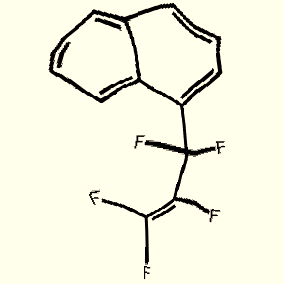 FC(F)=C(F)C(F)(F)c1cccc2ccccc12